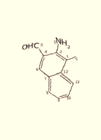 Cc1c(N)c(C=O)cc2ccccc12